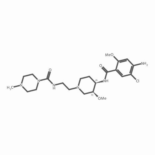 COc1cc(N)c(Cl)cc1C(=O)N[C@@H]1CCN(CCNC(=O)N2CCN(C)CC2)C[C@@H]1OC